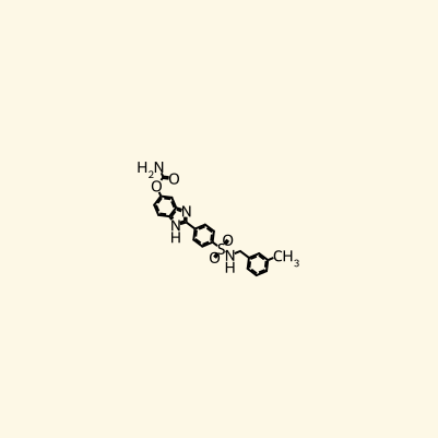 Cc1cccc(CNS(=O)(=O)c2ccc(-c3nc4cc(OC(N)=O)ccc4[nH]3)cc2)c1